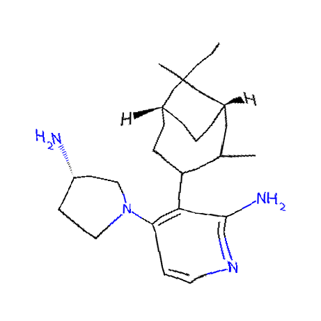 CC1C(c2c(N3CC[C@H](N)C3)ccnc2N)C[C@H]2C[C@@H]1C2(C)C